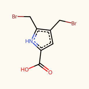 O=C(O)c1cc(CBr)c(CBr)[nH]1